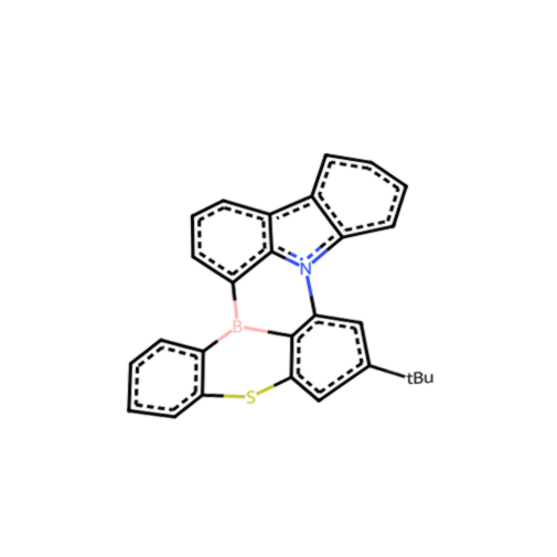 CC(C)(C)c1cc2c3c(c1)-n1c4ccccc4c4cccc(c41)B3c1ccccc1S2